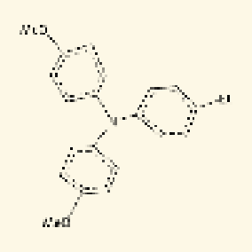 CCc1ccc(N(c2ccc(OC)cc2)c2ccc(OC)cc2)cc1